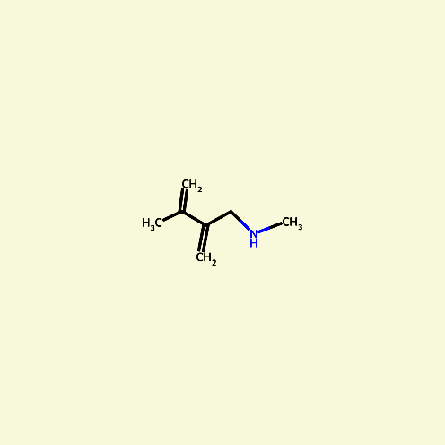 C=C(C)C(=C)CNC